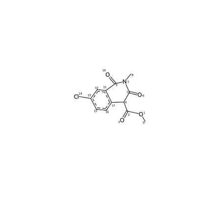 COC(=O)C1C(=O)N(C)C(=O)c2cc(Cl)ccc21